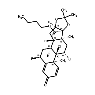 CCCCOC(=S)[C@@]12OC(C)(C)O[C@@H]1C[C@H]1[C@@H]3C[C@H](F)C4=CC(=O)C=C[C@]4(C)[C@@]3(Cl)[C@@H](Cl)C[C@@]12C